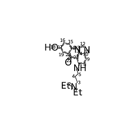 CCN(CC)CCCNc1ccc2ncn3c4ccc(O)cc4c(=O)c1c23